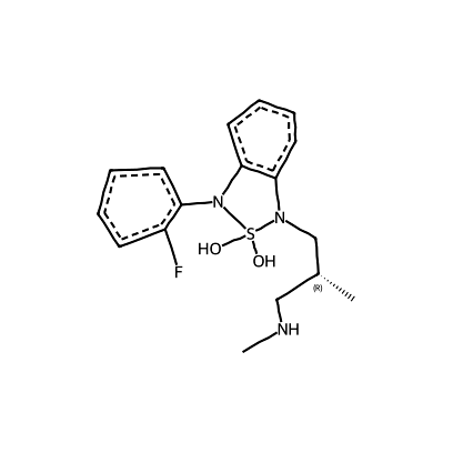 CNC[C@@H](C)CN1c2ccccc2N(c2ccccc2F)S1(O)O